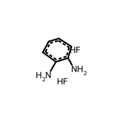 F.F.Nc1ccccc1N